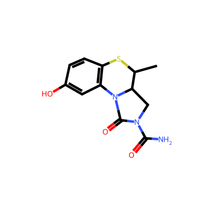 CC1Sc2ccc(O)cc2N2C(=O)N(C(N)=O)CC12